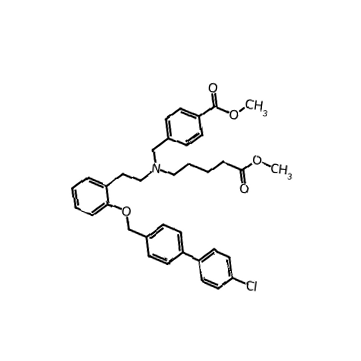 COC(=O)CCCCN(CCc1ccccc1OCc1ccc(-c2ccc(Cl)cc2)cc1)Cc1ccc(C(=O)OC)cc1